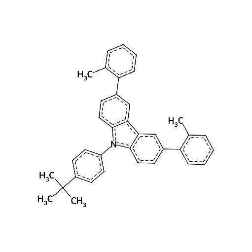 Cc1ccccc1-c1ccc2c(c1)c1cc(-c3ccccc3C)ccc1n2-c1ccc(C(C)(C)C)cc1